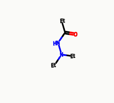 CCC(=O)NN(CC)CC